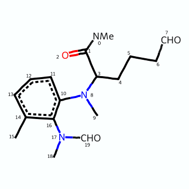 CNC(=O)C(CCCC=O)N(C)c1cccc(C)c1N(C)C=O